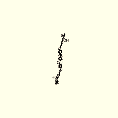 C=CC(=O)OCC(O)COCCCCOc1ccc(C(=O)Oc2ccc(OC(=O)c3ccc(OCCCCOCC(O)COC(=O)C=C)cc3)cc2)cc1